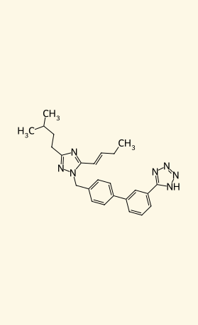 CC/C=C/c1nc(CCC(C)C)nn1Cc1ccc(-c2cccc(-c3nnn[nH]3)c2)cc1